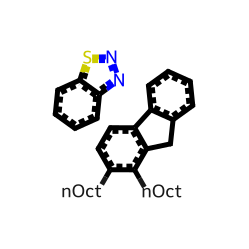 CCCCCCCCc1ccc2c(c1CCCCCCCC)Cc1ccccc1-2.c1ccc2snnc2c1